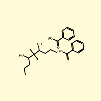 CCCC(O)C(C)(C)C(O)CCC.O=C(O)c1ccccc1.O=C(O)c1ccccc1